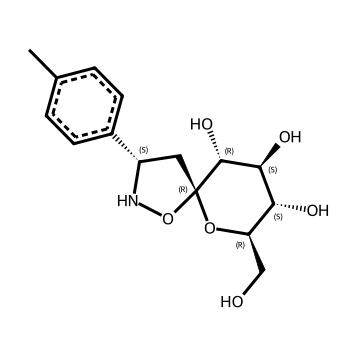 Cc1ccc([C@@H]2C[C@]3(ON2)O[C@H](CO)[C@@H](O)[C@H](O)[C@H]3O)cc1